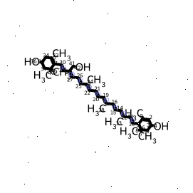 CC1=CC(O)CC(C)(C)C1/C=C/C(C)=C/C=C/C(C)=C/C=C/C=C(C)/C=C/C=C(/C=C/C1=C(C)CC(O)CC1(C)C)CO